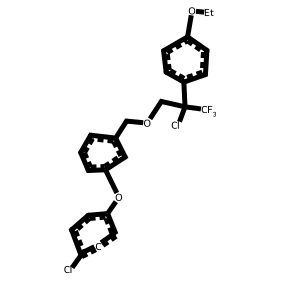 CCOc1ccc(C(Cl)(COCc2cccc(Oc3ccc(Cl)cc3)c2)C(F)(F)F)cc1